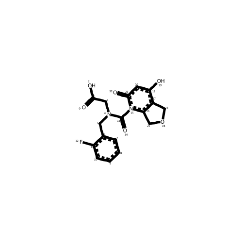 O=C(O)CN(Cc1ccccc1F)C(=O)n1c2c(c(O)cc1=O)COC2